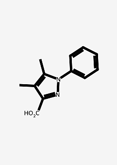 Cc1c(C(=O)O)nn(-c2ccccc2)c1C